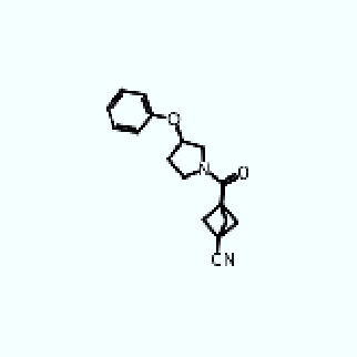 N#CC12CC(C(=O)N3CCC(Oc4ccccc4)C3)(C1)C2